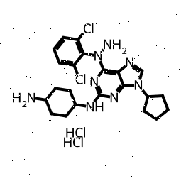 Cl.Cl.NC1CCC(Nc2nc(N(N)c3c(Cl)cccc3Cl)c3ncn(C4CCCC4)c3n2)CC1